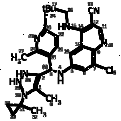 CC1=C([C@@H](Nc2cc(Cl)c3ncc(C#N)c(NCC(C)(C)C)c3c2)c2ccc(F)nc2C)NNN1C1(C)CC1